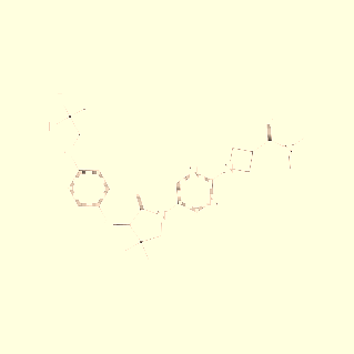 CN(C)C(=O)C1CN(c2ncc(N3CC(C)(C)C(Oc4ccc(OCC(F)(F)F)cc4)C3=O)cn2)C1